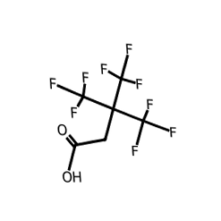 O=C(O)CC(C(F)(F)F)(C(F)(F)F)C(F)(F)F